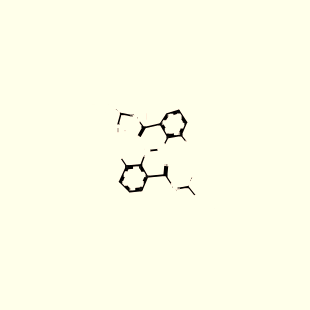 CCC(C)[C@H](NC(=O)c1cccc(F)c1SSc1c(F)cccc1C(=O)N[C@H](C(=O)O)C(C)CC)C(=O)O